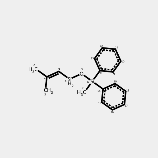 CC(C)=C[SiH2]O[Si](C)(c1ccccc1)c1ccccc1